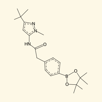 Cn1nc(C(C)(C)C)cc1NC(=O)Cc1ccc(B2OC(C)(C)C(C)(C)O2)cc1